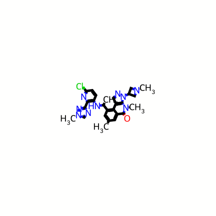 Cc1cc(C(C)Nc2ccc(Cl)nc2-c2ncn(C)n2)c2c(c1)c(=O)n(C)c1c2cnn1C1CN(C)C1